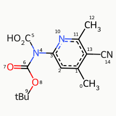 Cc1cc(N(C(=O)O)C(=O)OC(C)(C)C)nc(C)c1C#N